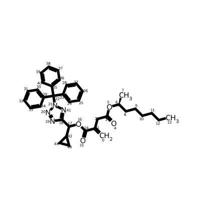 C=C(CC(=O)O[C@@H](C)CCCCCC)C(=O)OC(c1nnn(C(c2ccccc2)(c2ccccc2)c2ccccc2)n1)C1CC1